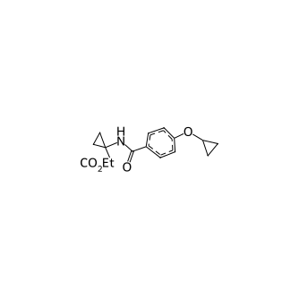 CCOC(=O)C1(NC(=O)c2ccc(OC3CC3)cc2)CC1